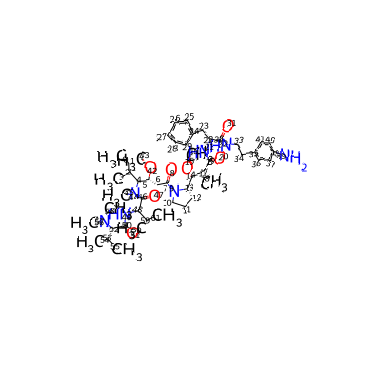 CC[C@H](C)C([C@@H](CC(=O)N1CCC[C@H]1[C@H](OC)[C@@H](C)C(=O)NC(Cc1ccccc1)C(=O)NCCc1ccc(N)cc1)OC)N(C)C(=O)C(NC(=O)[C@H](C(C)C)N(C)C)C(C)C